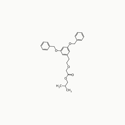 CC(C)COC(=O)COCCc1cc(OCc2ccccc2)cc(OCc2ccccc2)c1